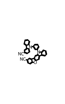 N#Cc1ccc2oc3cc4c5ccccc5n(-c5cccc(-n6c7ccccc7c7cc(C#N)ccc76)c5)c4cc3c2c1